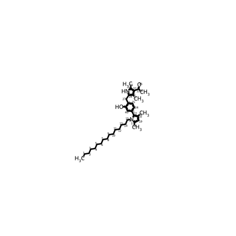 CCCCCCCCCCCCCCCCn1c(C)cc(C)c1-c1ccc(Cc2[nH]c(C)c(C(C)=O)c2C)c(O)c1